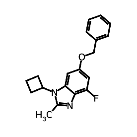 Cc1nc2c(F)cc(OCc3ccccc3)cc2n1C1CCC1